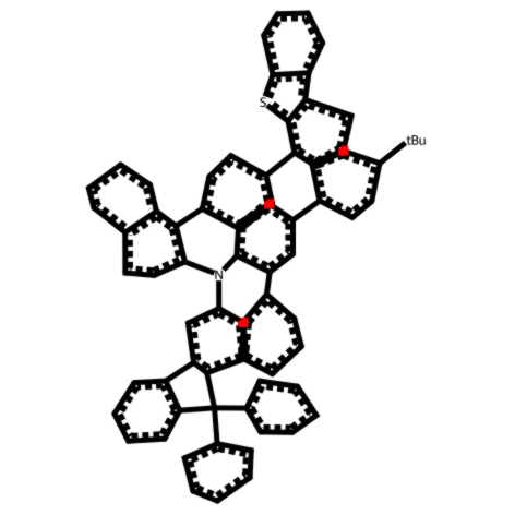 CC(C)(C)c1ccc(-c2ccc(N(c3ccc4c(c3)-c3ccccc3C4(c3ccccc3)c3ccccc3)c3ccc4ccccc4c3-c3ccc(-c4cccc5c4sc4ccccc45)cc3)c(-c3ccccc3)c2)cc1